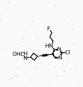 O=CN[C@H]1C[C@@H](C#Cc2cnc(Cl)nc2NCCCF)C1